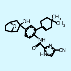 CC1(C)CC=C(c2cc(C3(O)CC4CCC(C3)O4)ccc2NC(=O)c2nc(C#N)c[nH]2)CC1